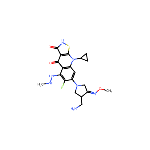 CNNc1c(F)c(N2C/C(=N\OC)C(CN)C2)cc2c1c(=O)c1c(=O)[nH]sc1n2C1CC1